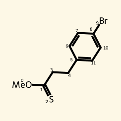 COC(=S)CCc1ccc(Br)cc1